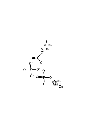 O=P([O-])([O-])[O-].O=P([O-])([O-])[O-].O=[Si]([O-])[O-].[Mn+2].[Mn+2].[Mn+2].[Mn+2].[Zn].[Zn]